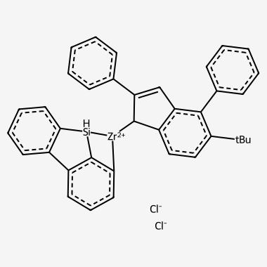 CC(C)(C)c1ccc2c(c1-c1ccccc1)C=C(c1ccccc1)[CH]2[Zr+2]1[c]2cccc3c2[SiH]1c1ccccc1-3.[Cl-].[Cl-]